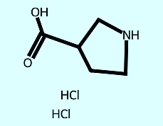 Cl.Cl.O=C(O)C1CCNC1